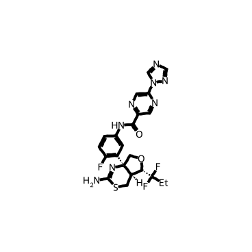 CCC(F)(F)[C@H]1OC[C@]2(c3cc(NC(=O)c4cnc(-n5cncn5)cn4)ccc3F)N=C(N)SC[C@H]12